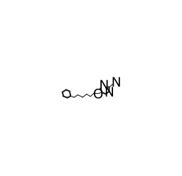 N#Cc1ncc(OCCCCCCc2ccccc2)cn1